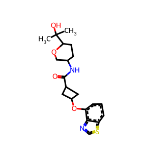 CC(C)(O)C1CCC(NC(=O)C2CC(Oc3cccc4scnc34)C2)CO1